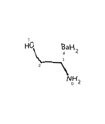 NCCO.[BaH2]